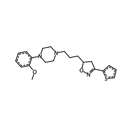 COc1ccccc1N1CCN(CCCC2CC(c3cccs3)=NO2)CC1